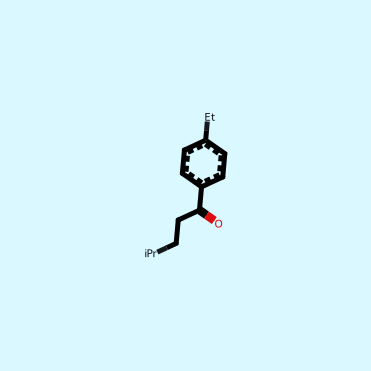 CCc1ccc(C(=O)CCC(C)C)cc1